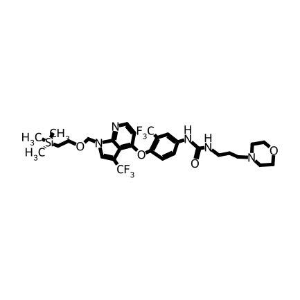 C[Si](C)(C)CCOCn1cc(C(F)(F)F)c2c(Oc3ccc(NC(=O)NCCCN4CCOCC4)cc3C(F)(F)F)ccnc21